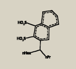 CCCCCCC(CCC)c1cc2ccccc2c(S(=O)(=O)O)c1S(=O)(=O)O